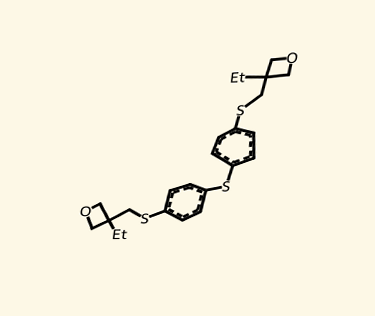 CCC1(CSc2ccc(Sc3ccc(SCC4(CC)COC4)cc3)cc2)COC1